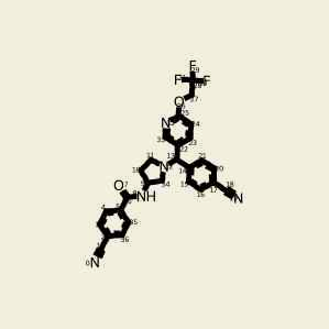 N#Cc1ccc(C(=O)NC2CCN(C(c3ccc(C#N)cc3)c3ccc(OCC(F)(F)F)nc3)C2)cc1